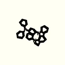 c1ccc(-n2ccc3ccc4c5ccccc5n(-c5ccc(P(c6ccccc6)c6ccccc6)cc5)c4c32)cc1